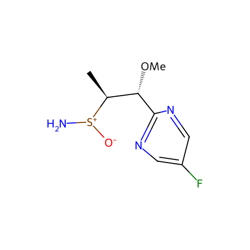 CO[C@H](c1ncc(F)cn1)[C@H](C)[S+](N)[O-]